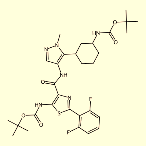 Cn1ncc(NC(=O)c2nc(-c3c(F)cccc3F)sc2NC(=O)OC(C)(C)C)c1C1CCCC(NC(=O)OC(C)(C)C)C1